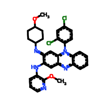 COc1ncccc1Nc1cc2nc3ccccc3n(-c3ccc(Cl)cc3Cl)c-2c/c1=N\C1CCC(OC)CC1